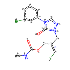 CC(C)(C)NC(=O)OC/C(=C\F)Cn1ncn(-c2cccc(Br)c2)c1=O